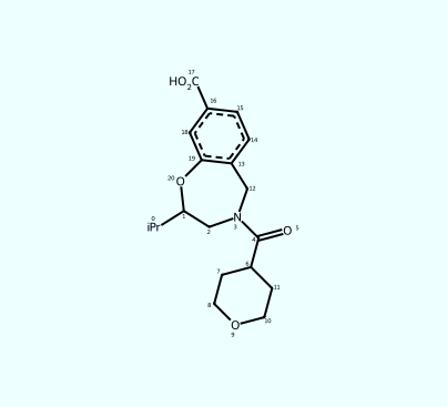 CC(C)C1CN(C(=O)C2CCOCC2)Cc2ccc(C(=O)O)cc2O1